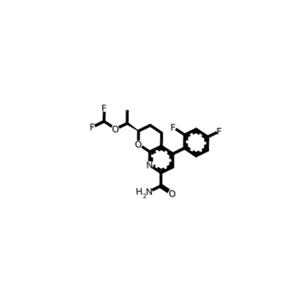 CC(OC(F)F)[C@H]1CCc2c(-c3ccc(F)cc3F)cc(C(N)=O)nc2O1